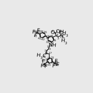 CC(C)CC(C(=O)O)c1cc(NCCCC(C)Cc2cc(C(F)(F)F)cc(C(F)(F)F)c2)cc(-c2ccc(C(F)(F)F)cc2)c1